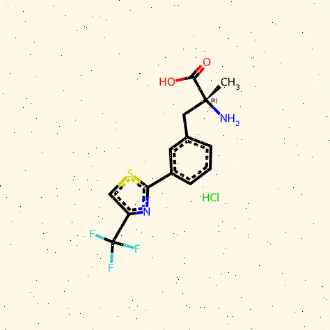 C[C@@](N)(Cc1cccc(-c2nc(C(F)(F)F)cs2)c1)C(=O)O.Cl